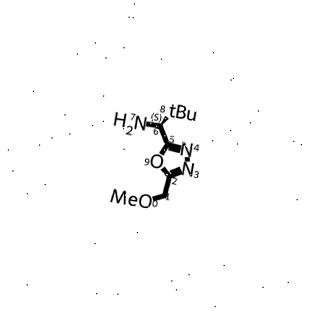 COCc1nnc([C@@H](N)C(C)(C)C)o1